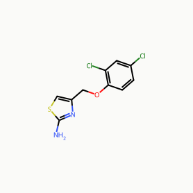 Nc1nc(COc2ccc(Cl)cc2Cl)cs1